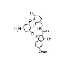 CCc1c(C(=O)NCc2ccc(Cl)c(Oc3cc(N)cc(Cl)c3)c2F)[nH]c2ccc(OC)cc12